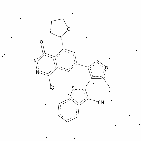 CCc1n[nH]c(=O)c2c([C@@H]3CCCO3)cc(-c3cnn(C)c3-c3sc4ccccc4c3C#N)cc12